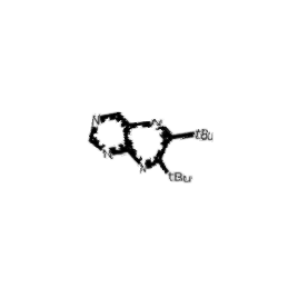 CC(C)(C)c1nc2cncnc2nc1C(C)(C)C